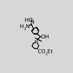 CCOC(=O)[C@H]1CCCN(C(C)(C)C(O)c2ccc(/C(N)=N/O)cc2)C1